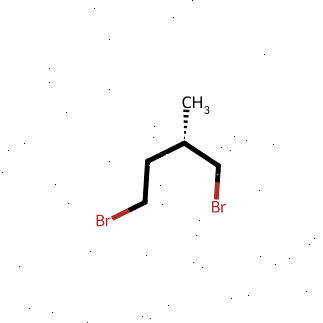 C[C@H](CBr)CCBr